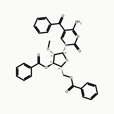 CO[C@H]1[C@H](OC(=O)c2ccccc2)[C@@H](COC(=O)c2ccccc2)O[C@H]1n1cc(C(=O)c2ccccc2)c(N)nc1=O